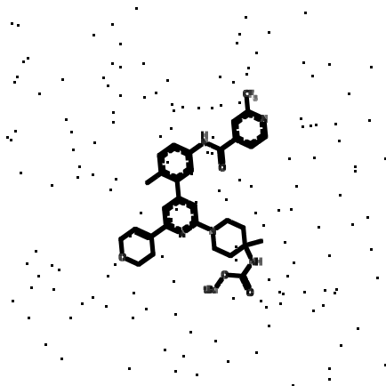 Cc1ccc(NC(=O)c2ccnc(C(F)(F)F)c2)cc1-c1cc(C2=CCOCC2)nc(N2CCC(C)(NC(=O)OC(C)(C)C)CC2)c1